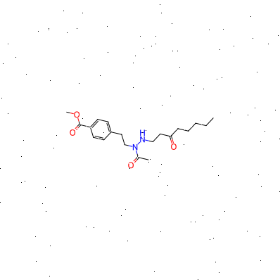 CCCCCC(=O)CCNN(CCc1ccc(C(=O)OC)cc1)C(C)=O